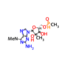 CNc1nc(N)nc2c1ncn2[C@@H]1O[C@H](CO[PH](C)=O)[C@@H](O)[C@@]1(C)O